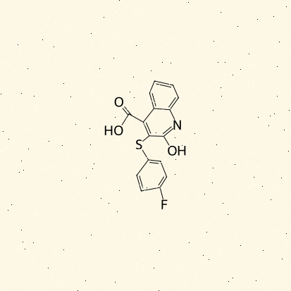 O=C(O)c1c(Sc2ccc(F)cc2)c(O)nc2ccccc12